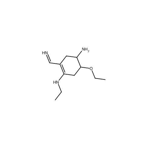 CCNC1=C(C=N)CC(N)C(OCC)C1